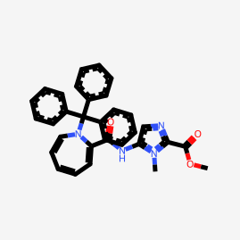 COC(=O)c1ncc(NC(=O)C2=CC=CC=CN2C(c2ccccc2)(c2ccccc2)c2ccccc2)n1C